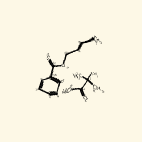 CC(C)(C)C(=O)O.CCCCOC(=O)c1ccccc1